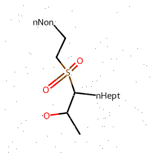 CCCCCCCCCCCS(=O)(=O)C(CCCCCCC)C(C)[O]